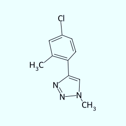 Cc1cc(Cl)ccc1-c1cn(C)nn1